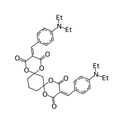 CCN(CC)c1ccc(C=C2C(=O)OC3(CCCC4(C3)OC(=O)C(=Cc3ccc(N(CC)CC)cc3)C(=O)O4)OC2=O)cc1